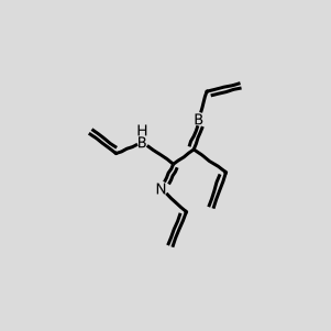 C=C/B=C(C=C)\C(BC=C)=N/C=C